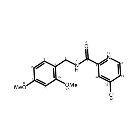 COc1ccc(CNC(=O)c2cc(Cl)ccn2)c(OC)c1